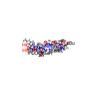 C/C=C/C[C@@H](C)[C@@H](O)[C@@H](C(=O)N[C@H](C(=O)O)[C@@H](C)O)N(C)C(=O)[C@H](C(C)C)N(C)C(=O)[C@H](CC(C)C)NC(=O)[C@H](CC(C)C)N(C)C(=O)[C@@H](C)NC(=O)[C@H](C)NC(=O)[C@H](CC(C)C)N(C)C(=O)[C@H](CC(C)C)NC(=O)C(C(C)OC(C)(C)C)N(C)C(=O)[C@@H](C)NC